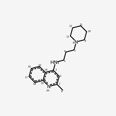 Cc1cc(NCCCN2CCCCC2)c2ccccc2n1